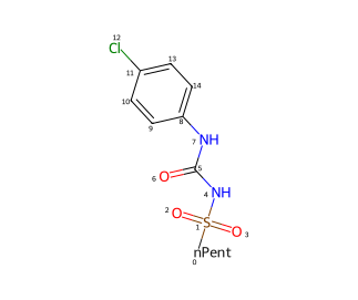 CCCCCS(=O)(=O)NC(=O)Nc1ccc(Cl)cc1